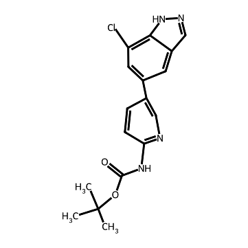 CC(C)(C)OC(=O)Nc1ccc(-c2cc(Cl)c3[nH]ncc3c2)cn1